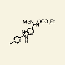 CCOC(=O)O/N=C(\NC)c1ccc2[nH]c(-c3ccc(F)cc3)nc2c1